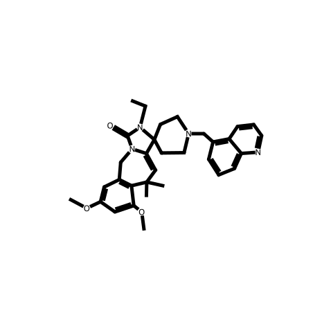 CCN1C(=O)N2Cc3cc(OC)cc(OC)c3C(C)(C)C=C2C12CCN(Cc1cccc3ncccc13)CC2